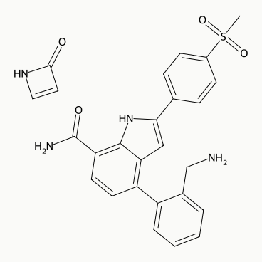 CS(=O)(=O)c1ccc(-c2cc3c(-c4ccccc4CN)ccc(C(N)=O)c3[nH]2)cc1.O=C1C=CN1